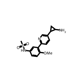 COc1ccc(NS(C)(=O)=O)cc1-c1ccc(C2CC2N)cn1